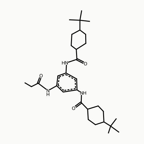 CCC(=O)Nc1cc(NC(=O)C2CCC(C(C)(C)C)CC2)cc(NC(=O)C2CCC(C(C)(C)C)CC2)c1